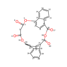 O=C1CC(=O)Oc2ccc(c3ccccc23)C(=O)OC(=O)c2ccc(c3ccccc23)O1